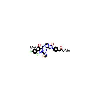 COC(=O)Cc1ccc(N2CC3CN(CC4=C(C(=O)OC)C(c5ccc(F)cc5Cl)N=C(c5nccs5)N4)CCN3C2=O)cc1